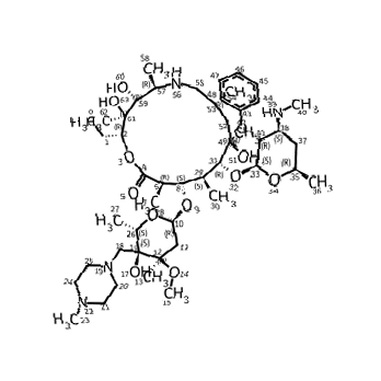 CC[C@H]1OC(=O)[C@H](C)[C@@H](O[C@H]2C[C@@](C)(OC)[C@](O)(CN3CCN(C)CC3)[C@H](C)O2)[C@H](C)[C@@H](O[C@@H]2O[C@H](C)C[C@H](NC)[C@H]2Oc2ccccc2)[C@](C)(O)C[C@@H](C)CN[C@H](C)[C@@H](O)[C@]1(C)O